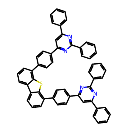 c1ccc(-c2cc(-c3ccc(-c4cccc5c4sc4c(-c6ccc(-c7cc(-c8ccccc8)nc(-c8ccccc8)n7)cc6)cccc45)cc3)nc(-c3ccccc3)n2)cc1